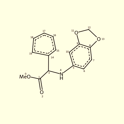 COC(=O)C(Nc1ccc2c(c1)OCO2)c1ccccc1